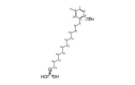 Cc1ccc(C(C)(C)C)c(CCCCCCCCCCCCCOP(O)O)c1